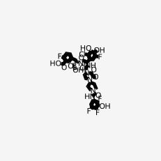 O=C(O)c1c(F)ccc2c1OB(O)[C@@H](NC(=O)[C@H](NC(=O)N1CCN(C3CCN(C(=O)Nc4cc(F)c(F)c(O)c4F)CC3)C(=O)C1=O)c1cc(F)c(O)c(O)c1Cl)C2